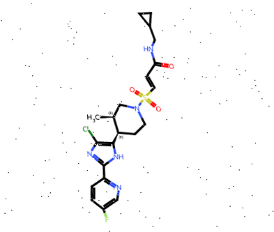 C[C@H]1CN(S(=O)(=O)C=CC(=O)NCC2CC2)CC[C@H]1c1[nH]c(-c2ccc(F)cn2)nc1Cl